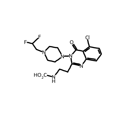 O=C(O)NCCc1nc2cccc(Cl)c2c(=O)n1N1CCN(CC(F)F)CC1